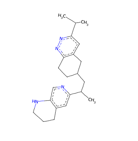 CC(C)c1cc2c(nn1)CCC(CC(C)c1cc3c(cn1)NCCC3)C2